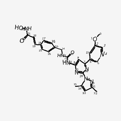 COc1cncc(-c2cc(NC(=O)NCc3ccc(/C=C/C(=O)NO)cc3)nc(-n3nc(C)cc3C)n2)c1